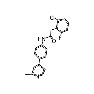 Cc1cc(-c2ccc(NC(=O)Cc3c(F)cccc3Cl)cc2)ccn1